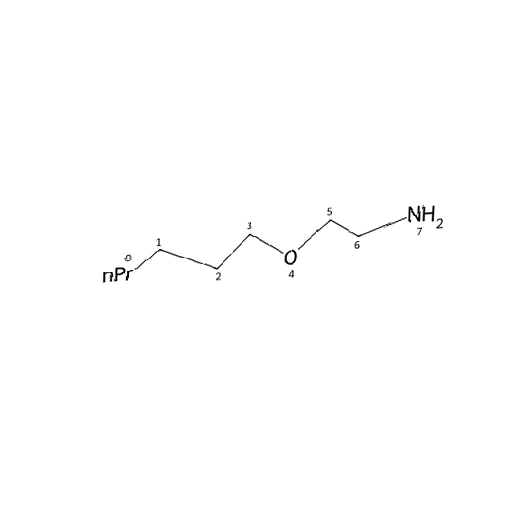 CCCCCCOCCN